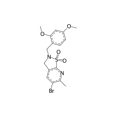 COc1ccc(CN2Cc3cc(Br)c(C)nc3S2(=O)=O)c(OC)c1